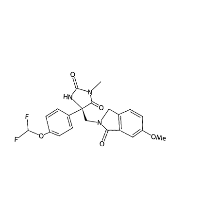 COc1ccc2c(c1)C(=O)N(C[C@@]1(c3ccc(OC(F)F)cc3)NC(=O)N(C)C1=O)C2